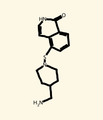 NCC1CCN(Sc2cccc3c(=O)[nH]ccc23)CC1